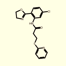 O=C(CCSc1ccccn1)Nc1cc(Cl)ccc1C1=NCCO1